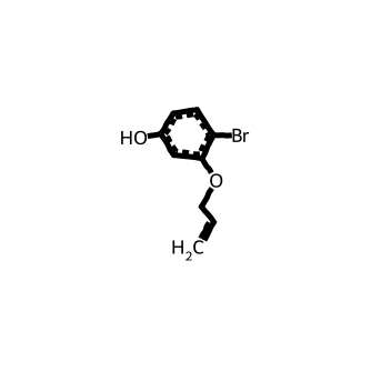 C=CCOc1cc(O)ccc1Br